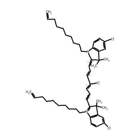 C=CCCCCCCCCN1/C(=C/C=C/C(Cl)=C/C=C/C2=[N+](CCCCCCCCC=C)c3ccc(Cl)cc3C2(C)C)C(C)(C)c2cc(Cl)ccc21